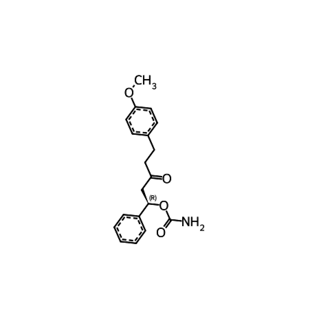 COc1ccc(CCC(=O)C[C@@H](OC(N)=O)c2ccccc2)cc1